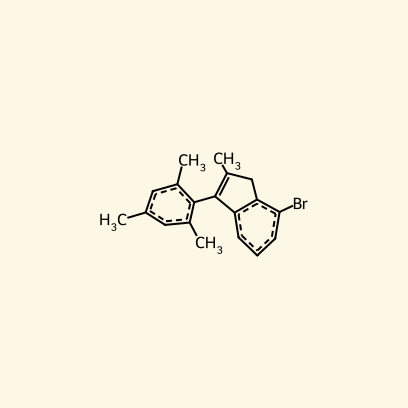 CC1=C(c2c(C)cc(C)cc2C)c2cccc(Br)c2C1